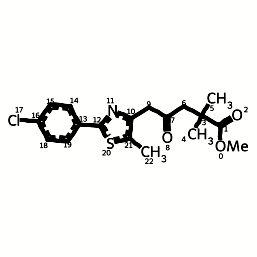 COC(=O)C(C)(C)CC(=O)Cc1nc(-c2ccc(Cl)cc2)sc1C